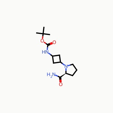 CC(C)(C)OC(=O)NC1CC(N2CCC[C@H]2C(N)=O)C1